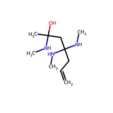 C=CCC(CC(C)(O)NC)(NC)NC